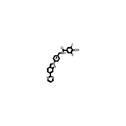 O=C(NCC12CCC(n3cc4ccc(-c5ncccn5)cc4n3)(CC1)CC2)c1cc(F)c(O)c(F)c1